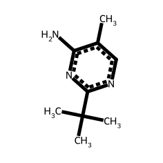 Cc1cnc(C(C)(C)C)nc1N